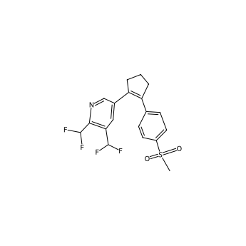 CS(=O)(=O)c1ccc(C2=C(c3cnc(C(F)F)c(C(F)F)c3)CCC2)cc1